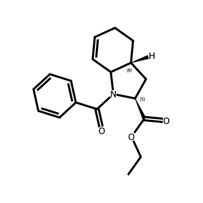 CCOC(=O)[C@@H]1C[C@H]2CCC=CC2N1C(=O)c1ccccc1